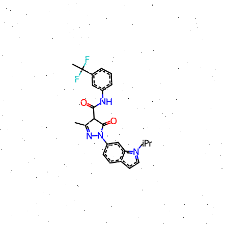 CC1=NN(c2ccc3ccn(C(C)C)c3c2)C(=O)C1C(=O)Nc1cccc(C(C)(F)F)c1